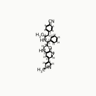 C[C@H](Cc1ccc(C#N)cc1)N[C@H](c1ccccc1)[C@@H]1CNc2cc(-c3cnn(C)c3)cnc2O1